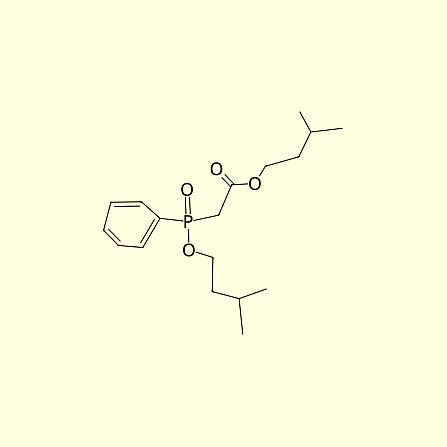 CC(C)CCOC(=O)CP(=O)(OCCC(C)C)c1ccccc1